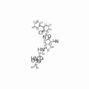 N#Cc1c2c(cc3nc(-c4cccc(-c5ccccc5)c4Cl)oc13)[C@H](NCCC(=O)NS(=O)(=O)C1CC1)CC2